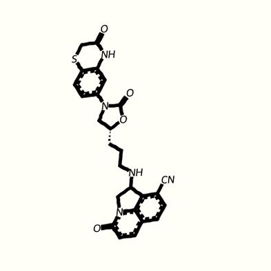 N#Cc1ccc2ccc(=O)n3c2c1C(NCCC[C@@H]1CN(c2ccc4c(c2)NC(=O)CS4)C(=O)O1)C3